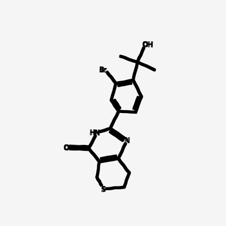 CC(C)(O)c1ccc(-c2nc3c(c(=O)[nH]2)CSCC3)cc1Br